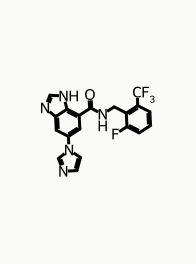 O=C(NCc1c(F)cccc1C(F)(F)F)c1cc(-n2ccnc2)cc2nc[nH]c12